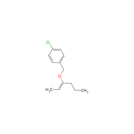 C/C=C(/CCC)OCc1ccc(Cl)cc1